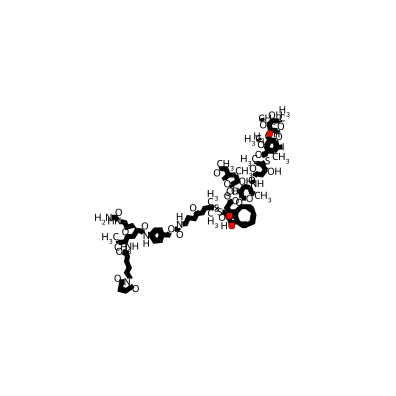 COC(=O)CC1=C2/C(=C\CSSC(C)(C)CCC(=O)CCCNC(=O)OCc3ccc(NC(=O)[C@H](CCCNC(N)=O)CC(=O)[C@@H](NC(=O)CCCCCN4C(=O)C=CC4=O)C(C)C)cc3)[C@](O)(C#C/C=C\C#C[C@@H]2OC2OC(C)C(NOC3CC(O)C(SC(=O)c4c(C)c(I)c(OC5OC(C)C(O)C(OC)C5O)c(C)c4OC)C(C)O3)C(O)C2OC2CC(C)C(CC(C)=O)CO2)CC1=O